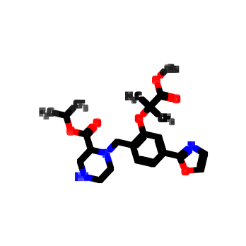 CC(C)(C)OC(=O)C(C)(C)Oc1cc(-c2ncco2)ccc1CN1CCNCC1C(=O)OC(C(F)(F)F)C(F)(F)F